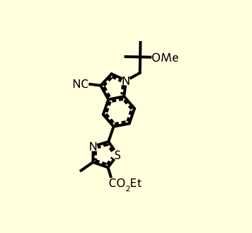 CCOC(=O)c1sc(-c2ccc3c(c2)c(C#N)cn3CC(C)(C)OC)nc1C